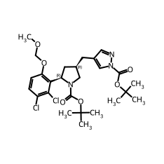 COCOc1ccc(Cl)c(Cl)c1[C@H]1C[C@@H](Cc2cnn(C(=O)OC(C)(C)C)c2)CN1C(=O)OC(C)(C)C